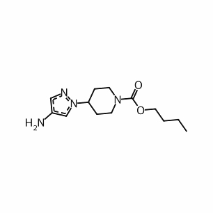 CCCCOC(=O)N1CCC(n2cc(N)cn2)CC1